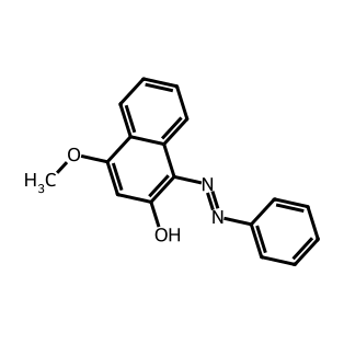 COc1cc(O)c(N=Nc2ccccc2)c2ccccc12